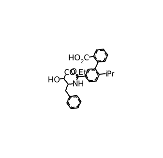 CCOC(=O)C(O)C(Cc1ccccc1)NC(=O)c1ccc(C(C)C)c(-c2ccccc2C(=O)O)c1